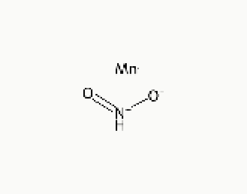 O=[NH+][O-].[Mn]